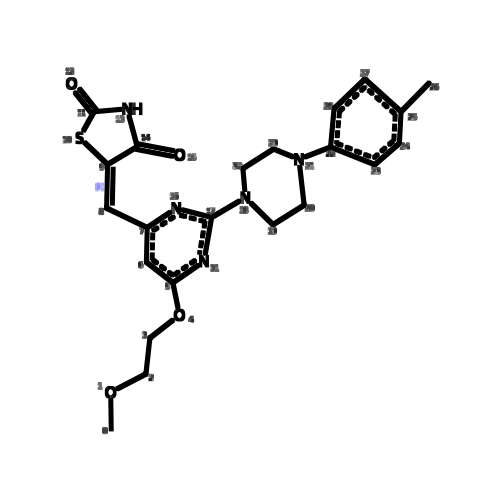 COCCOc1cc(/C=C2/SC(=O)NC2=O)nc(N2CCN(c3ccc(C)cc3)CC2)n1